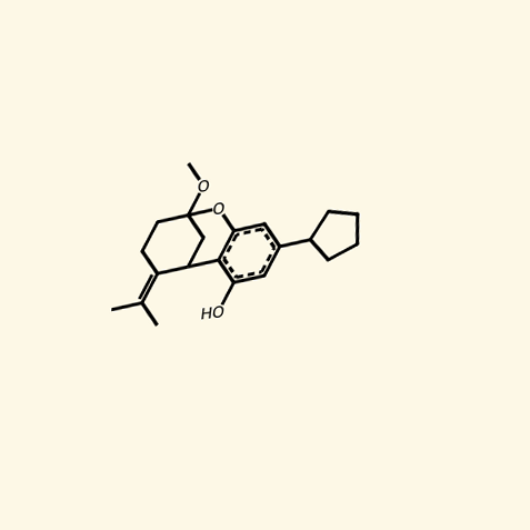 COC12CCC(=C(C)C)C(C1)c1c(O)cc(C3CCCC3)cc1O2